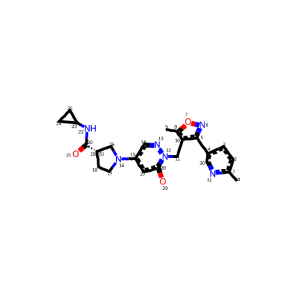 Cc1ccc(-c2noc(C)c2Cn2ncc(N3CC[C@H](C(=O)NC4CC4)C3)cc2=O)cn1